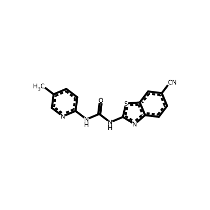 Cc1ccc(NC(=O)Nc2nc3ccc(C#N)cc3s2)nc1